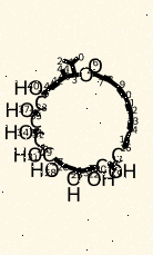 CC(C)C1OC(=O)C=CC=CC=CC=CC=CCC(O)CC(O)CC(O)CC(O)CC(O)CC(O)CC(O)CC(O)C=CC1C